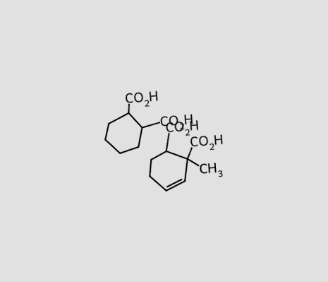 CC1(C(=O)O)C=CCCC1C(=O)O.O=C(O)C1CCCCC1C(=O)O